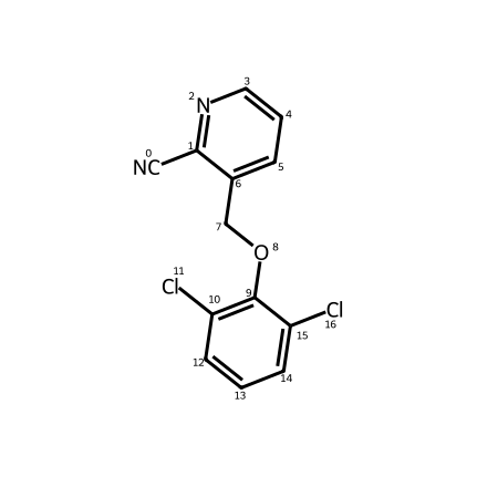 N#Cc1ncccc1COc1c(Cl)cccc1Cl